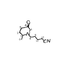 CC1CCC(=O)CN1CCCCC#N